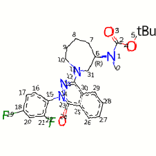 CN(C(=O)OC(C)(C)C)[C@@H]1CCCCN(c2nn(-c3ccc(F)cc3F)c(=O)c3ccccc23)C1